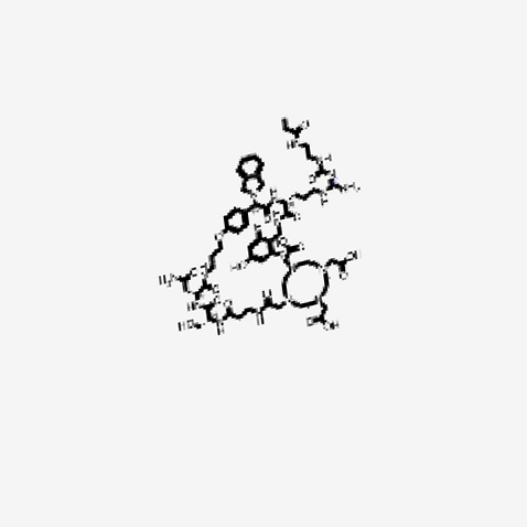 CCC(=O)NCCNC(=O)/N=C(/N)NCCC[C@@H](NC(=O)[C@H](c1ccc(OCCCNC(=O)[C@@H](CC(N)=O)NC(=O)[C@@H](CO)NC(=O)CCNC(=O)CN2CCN(CC(=O)O)CCN(CC(=O)O)CCN(CC(=O)O)CC2)cc1)N1Cc2ccccc2C1)C(=O)NCc1c(F)cc(O)cc1F